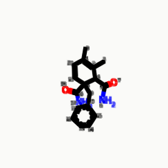 CC1=C(C)C(C(N)=O)C(Cc2ccccc2)(C(N)=O)C=C1